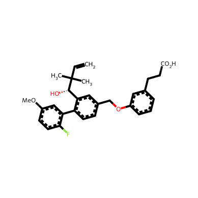 C=CC(C)(C)[C@@H](O)c1cc(COc2cccc(CCC(=O)O)c2)ccc1-c1cc(OC)ccc1F